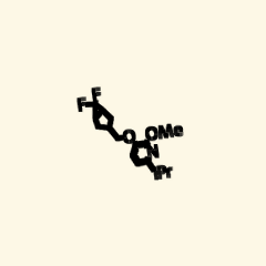 COc1nc(C(C)C)ccc1OCC1CC2C(C1)C2(F)F